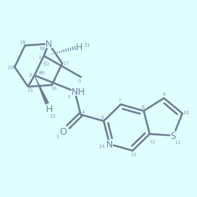 C[C@H]1[C@H](NC(=O)c2cc3ccsc3cn2)C2CCN1CC2